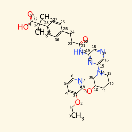 CCOc1cccnc1OC1CCCN(c2cncc(NC(=O)CCc3ccc(C(C)(C)C(=O)O)cc3)n2)C1